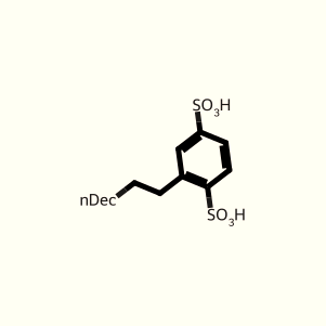 CCCCCCCCCCCCc1cc(S(=O)(=O)O)ccc1S(=O)(=O)O